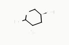 OC1OC[C@@H](O)C[C@@H]1O